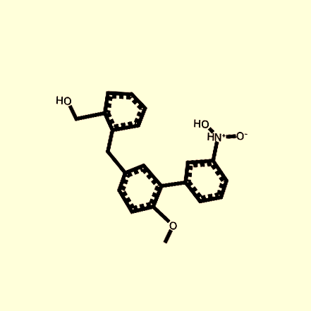 COc1ccc(Cc2ccccc2CO)cc1-c1cccc([NH+]([O-])O)c1